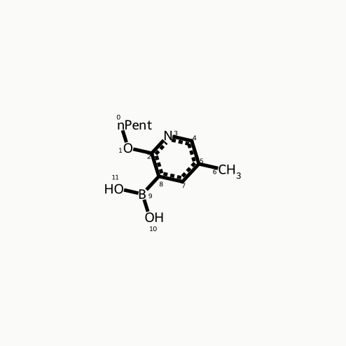 CCCCCOc1ncc(C)cc1B(O)O